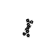 CC1(C)c2cc(N(c3ccccc3)c3ccccc3)ccc2-c2cc3c(cc21)C1C=CC(N(C2=CC=CCC2)c2ccccc2)=CC1C3(C)C